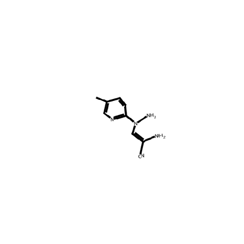 Cc1ccc(N(N)/C=C(\N)C#N)nc1